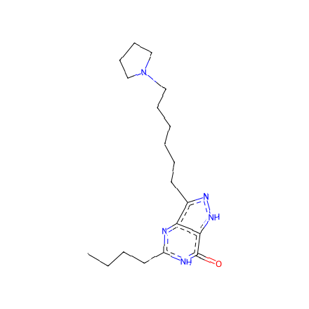 CCCCc1nc2c(CCCCCCN3CCCC3)n[nH]c2c(=O)[nH]1